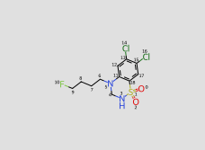 O=S1(=O)NCN(CCCCF)c2cc(Cl)c(Cl)cc21